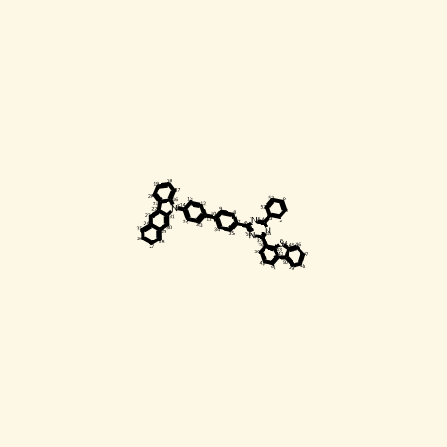 c1ccc(-c2nc(-c3ccc(-c4ccc(-n5c6ccccc6c6cc7ccccc7cc65)cc4)cc3)nc(-c3cccc4c3sc3ccccc34)n2)cc1